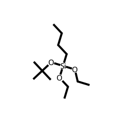 CCCC[Si](OCC)(OCC)OC(C)(C)C